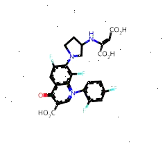 O=C(O)/C=C(\NC1CCN(c2c(F)cc3c(=O)c(C(=O)O)cn(-c4ccc(F)cc4F)c3c2F)C1)C(=O)O